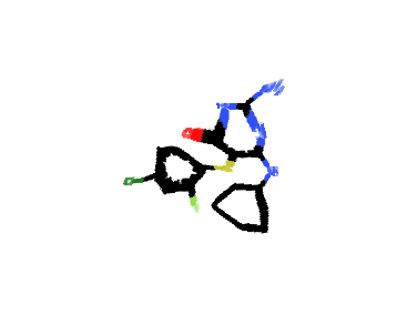 Nc1nc(NC2CCCCC2)c(Sc2ccc(Cl)cc2F)c(=O)[nH]1